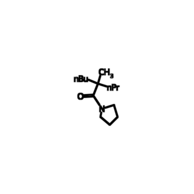 CCCCC(C)(CCC)C(=O)N1CCCC1